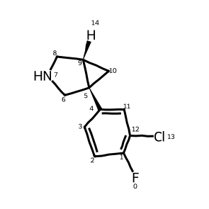 Fc1ccc([C@@]23CNC[C@@H]2C3)cc1Cl